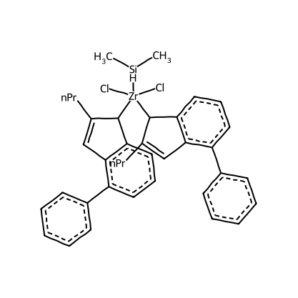 CCCC1=Cc2c(-c3ccccc3)cccc2[CH]1[Zr]([Cl])([Cl])([CH]1C(CCC)=Cc2c(-c3ccccc3)cccc21)[SiH](C)C